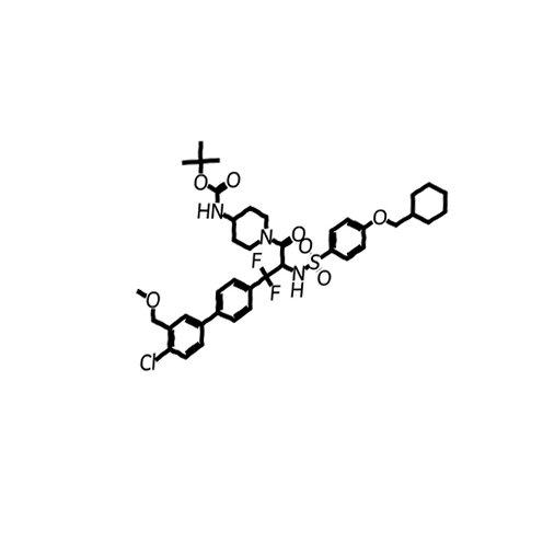 COCc1cc(-c2ccc(C(F)(F)C(NS(=O)(=O)c3ccc(OCC4CCCCC4)cc3)C(=O)N3CCC(NC(=O)OC(C)(C)C)CC3)cc2)ccc1Cl